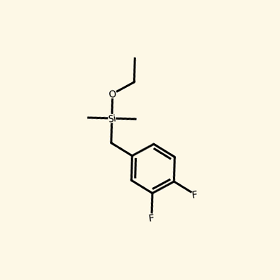 CCO[Si](C)(C)Cc1ccc(F)c(F)c1